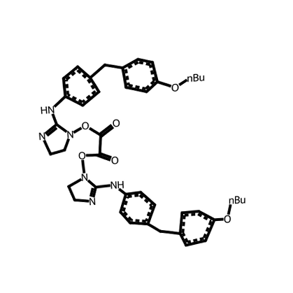 CCCCOc1ccc(Cc2ccc(NC3=NCCN3OC(=O)C(=O)ON3CCN=C3Nc3ccc(Cc4ccc(OCCCC)cc4)cc3)cc2)cc1